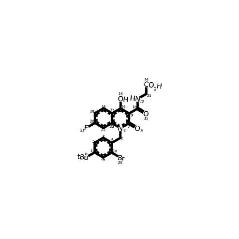 CC(C)(C)c1ccc(Cn2c(=O)c(C(=O)NCC(=O)O)c(O)c3ccc(F)cc32)c(Br)c1